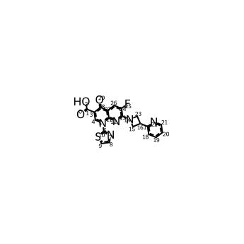 O=C(O)c1cn(-c2nccs2)c2nc(N3CC(c4ccccn4)C3)c(F)cc2c1=O